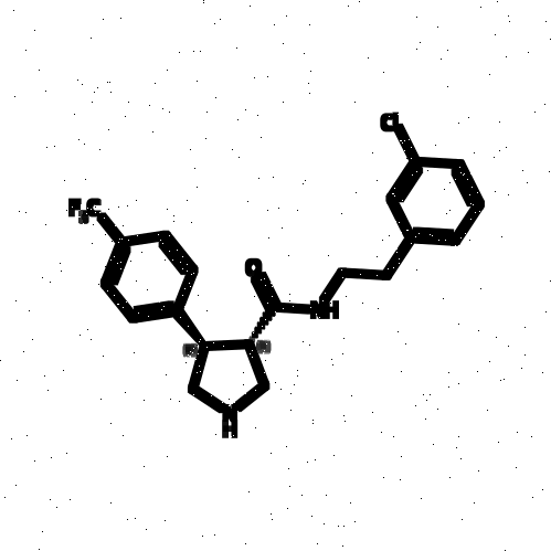 O=C(NCCc1cccc(Cl)c1)[C@@H]1CNC[C@H]1c1ccc(C(F)(F)F)cc1